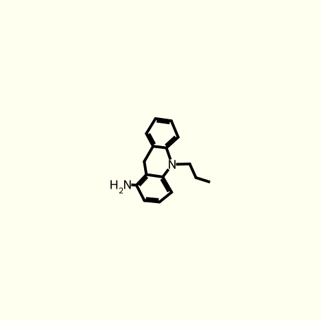 CCCN1c2ccccc2Cc2c(N)cccc21